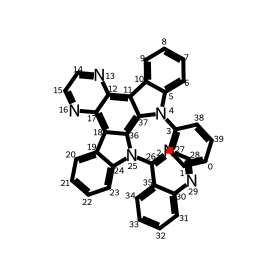 c1ccc(-n2c3ccccc3c3c4nccnc4c4c5ccccc5n(-c5ncnc6ccccc56)c4c32)cc1